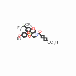 CCOc1ccc(S(=O)(=O)C23CCCN(C(=O)C4CC5(CC(C(=O)O)C5)C4)C2COc2cc(C(F)(C(F)(F)F)C(F)(F)F)ccc23)cc1